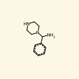 NC(c1cc[c]cc1)N1CCNCC1